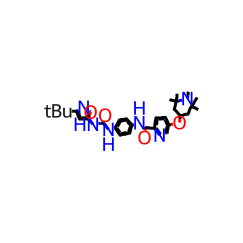 CN1C(C)(C)CC(Oc2ccc(C(=O)Nc3ccc(NC(=O)Nc4cc(C(C)(C)C)no4)cc3)nc2)CC1(C)C